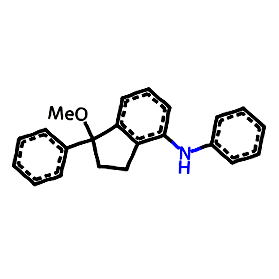 COC1(c2ccccc2)CCc2c(Nc3ccccc3)cccc21